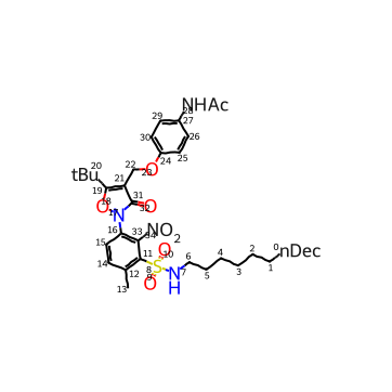 CCCCCCCCCCCCCCCCNS(=O)(=O)c1c(C)ccc(-n2oc(C(C)(C)C)c(COc3ccc(NC(C)=O)cc3)c2=O)c1[N+](=O)[O-]